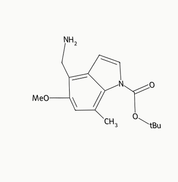 COc1cc(C)c2c(ccn2C(=O)OC(C)(C)C)c1CN